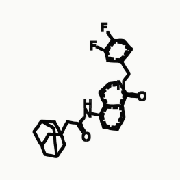 O=C(CC12CC3CC(CC(C3)C1)C2)Nc1cccc2c(=O)n(Cc3ccc(F)c(F)c3)ccc12